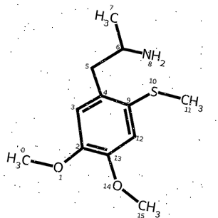 COc1cc(CC(C)N)c(SC)cc1OC